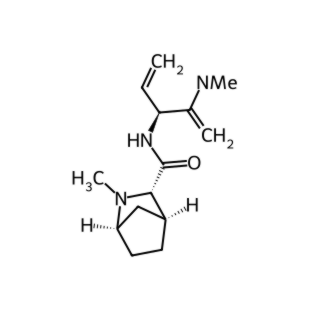 C=C[C@H](NC(=O)[C@@H]1[C@H]2CC[C@H](C2)N1C)C(=C)NC